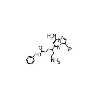 NCCC(CCC(=O)OCc1ccccc1)c1cc(N)n2ncc(C3CC3)c2n1